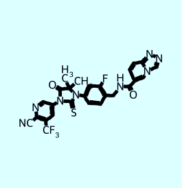 CC1(C)C(=O)N(c2cnc(C#N)c(C(F)(F)F)c2)C(=S)N1c1ccc(CNC(=O)c2ccc3nncn3c2)c(F)c1